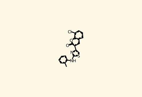 Cc1ccccc1Nc1nc(-c2cc3cccc(Cl)c3oc2=O)cs1